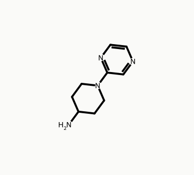 NC1CCN(c2cnccn2)CC1